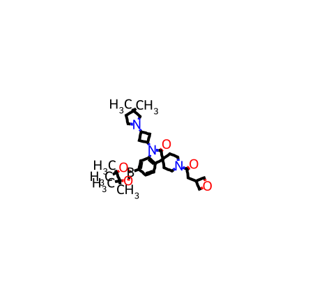 CC1(C)CCN(C2CC(N3C(=O)C4(CCN(C(=O)CC5COC5)CC4)c4ccc(B5OC(C)(C)C(C)(C)O5)cc43)C2)C1